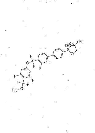 CCCC12COC(c3ccc(-c4ccc(C(F)(F)Oc5cc(F)c(C(F)(F)OC(F)(F)F)c(F)c5)c(F)c4)cc3)(OC1)O2